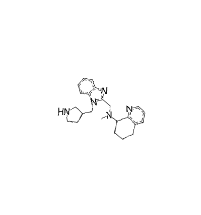 CN(Cc1nc2ccccc2n1CC1CCNC1)C1CCCc2cccnc21